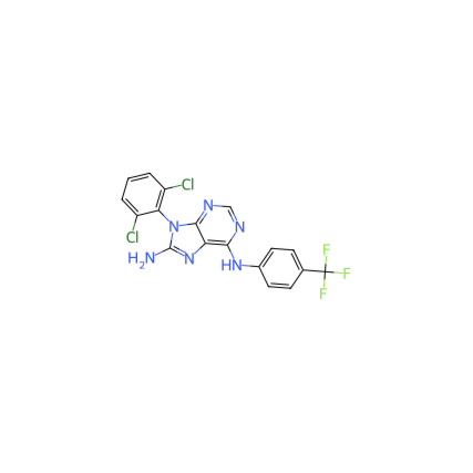 Nc1nc2c(Nc3ccc(C(F)(F)F)cc3)ncnc2n1-c1c(Cl)cccc1Cl